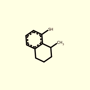 CC1CCCc2cccc(S)c21